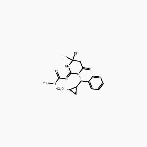 CCC1(CC)CC(=O)N([C@H](c2cccnc2)[C@H]2C[C@@H]2C(=O)O)/C(=N/C(=O)OC(C)(C)C)N1